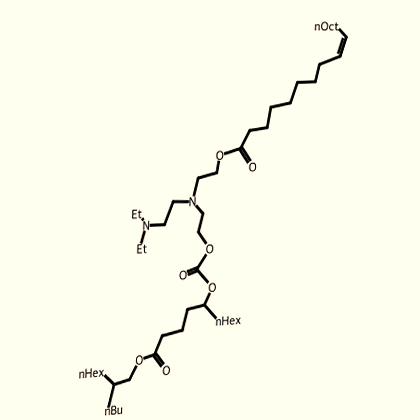 CCCCCCCC/C=C\CCCCCCCC(=O)OCCN(CCOC(=O)OC(CCCCCC)CCCC(=O)OCC(CCCC)CCCCCC)CCN(CC)CC